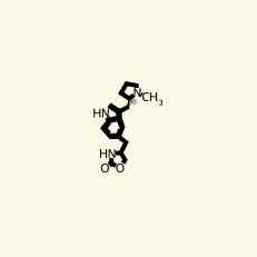 CN1CCC[C@@H]1Cc1c[nH]c2ccc(CC3COC(=O)N3)cc12